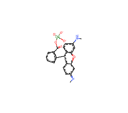 CN=c1ccc2c(-c3ccccc3C(=O)O[Cl+3]([O-])([O-])[O-])c3ccc(NC)cc3oc-2c1